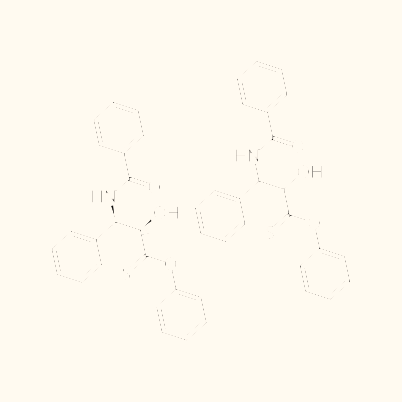 O=C(NC(c1ccccc1)C(O)C(=S)Oc1ccccc1)c1ccccc1.O=C(N[C@H](c1ccccc1)[C@@H](O)C(=S)Oc1ccccc1)c1ccccc1